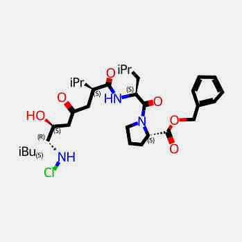 CC[C@H](C)[C@@H](NCl)[C@@H](O)CC(=O)C[C@H](C(=O)N[C@@H](CC(C)C)C(=O)N1CCC[C@H]1C(=O)OCc1ccccc1)C(C)C